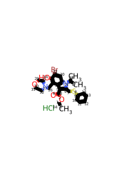 CCOC(=O)c1c(CSc2ccccc2)n(C(C)C)c2cc(Br)c(O)c(CN3CCOCC3)c12.Cl